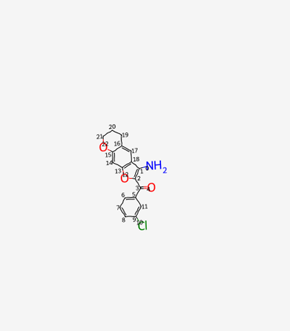 Nc1c(C(=O)c2cccc(Cl)c2)oc2cc3c(cc12)CCCO3